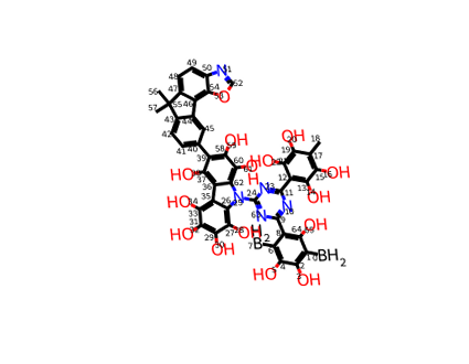 Bc1c(O)c(O)c(B)c(-c2nc(-c3c(O)c(O)c(C)c(O)c3O)nc(-n3c4c(O)c(O)c(O)c(O)c4c4c(O)c(-c5ccc6c(c5)-c5c(ccc7ncoc57)C6(C)C)c(O)c(O)c43)n2)c1O